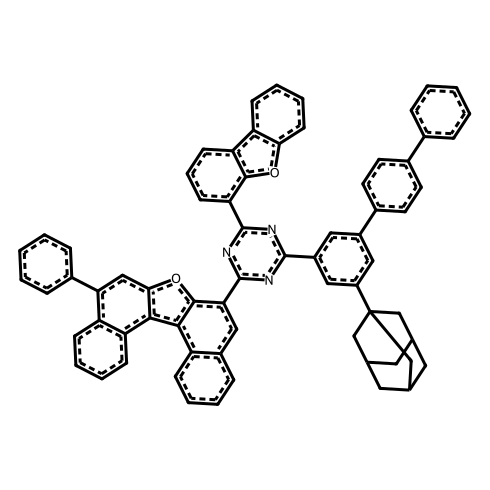 c1ccc(-c2ccc(-c3cc(-c4nc(-c5cccc6c5oc5ccccc56)nc(-c5cc6ccccc6c6c5oc5cc(-c7ccccc7)c7ccccc7c56)n4)cc(C45CC6CC(CC(C6)C4)C5)c3)cc2)cc1